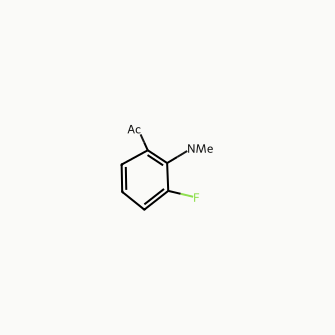 CNc1c(F)cccc1C(C)=O